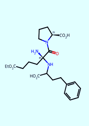 CCOC(=O)CCC[C@@](N)(NC(CCc1ccccc1)C(=O)O)C(=O)N1CCC[C@H]1C(=O)O